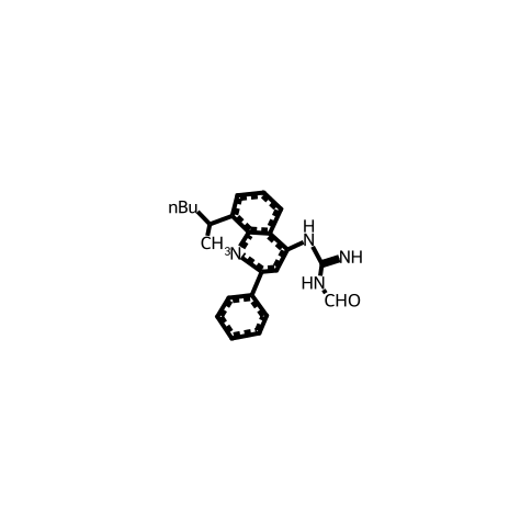 CCCCC(C)c1cccc2c(NC(=N)NC=O)cc(-c3ccccc3)nc12